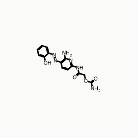 NC(=O)OCC(=O)Nc1ccc(/N=N/c2ccccc2O)c(N)n1